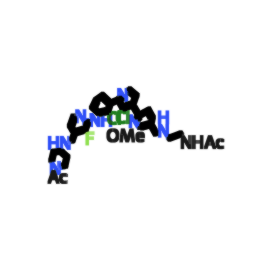 COc1nc(-c2ccnc(-c3cccc(Nc4nccc(CNC5CCN(C(C)=O)CC5)c4F)c3Cl)c2Cl)ccc1CNCCNC(C)=O